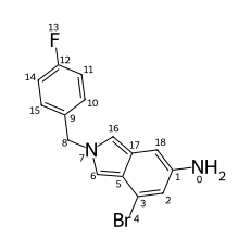 Nc1cc(Br)c2cn(Cc3ccc(F)cc3)cc2c1